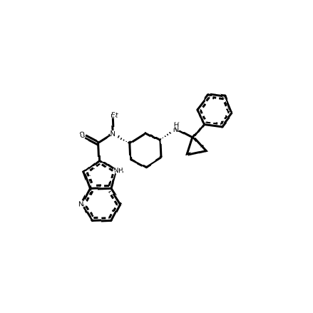 CCN(C(=O)c1cc2ncccc2[nH]1)[C@H]1CCC[C@@H](NC2(c3ccccc3)CC2)C1